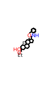 CCOCC1(O)CCC2(CC)C(CCC3C4CCC(C(=O)Nc5ccccc5C)C4(C)CCC32)C1